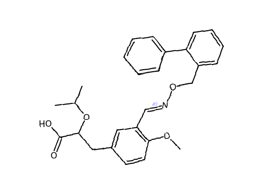 COc1ccc(CC(OC(C)C)C(=O)O)cc1/C=N/OCc1ccccc1-c1ccccc1